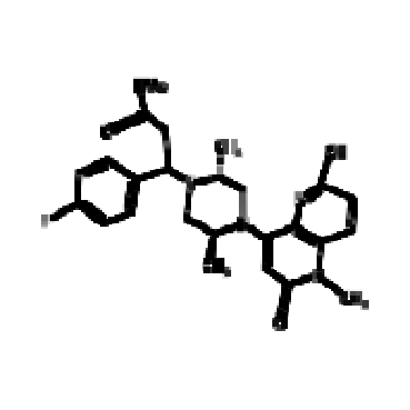 CNC(=O)CC(c1ccc(F)cc1)N1C[C@H](C)N(c2cc(=O)n(C)c3ccc(C#N)nc23)C[C@H]1C